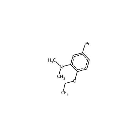 CC(C)c1ccc(OCC(F)(F)F)c(N(C)C)c1